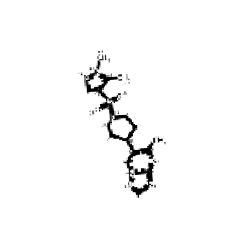 Cc1nc2ncnn2cc1C1CCN(S(=O)(=O)c2cnn(C)c2C)CC1